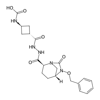 O=C(O)N[C@H]1C[C@H](C(=O)NNC(=O)[C@@H]2CC[C@@H]3CN2C(=O)N3OCc2ccccc2)C1